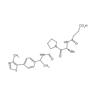 Cc1ncsc1-c1ccc(C(C)NC(=O)[C@@H]2CCCN2C(=O)[C@@H](NC(=O)CCC(=O)O)C(C)(C)C)cc1